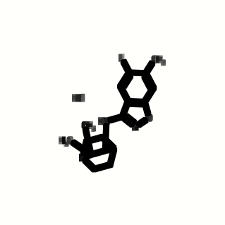 Cc1cc2onc(NC3C4CCN(CC4)C3(C)C)c2cc1F.Cl